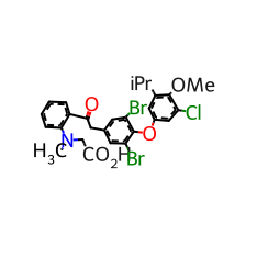 COc1c(Cl)cc(Oc2c(Br)cc(CC(=O)c3ccccc3N(C)CC(=O)O)cc2Br)cc1C(C)C